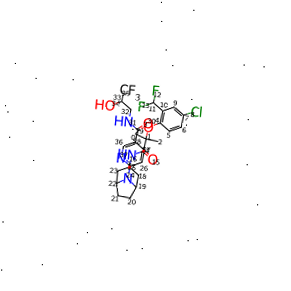 CC(C)(Oc1ccc(Cl)cc1C(F)F)C(=O)NC1CC2CCC(C1)N2c1ccc(C(=O)NCC(O)C(F)(F)F)cn1